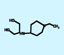 CCN1CCC(NC(CO)CO)CC1